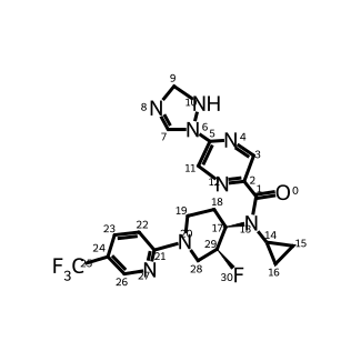 O=C(c1cnc(N2C=NCN2)cn1)N(C1CC1)[C@@H]1CCN(c2ccc(C(F)(F)F)cn2)C[C@@H]1F